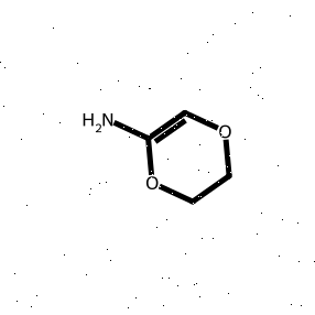 NC1=COCCO1